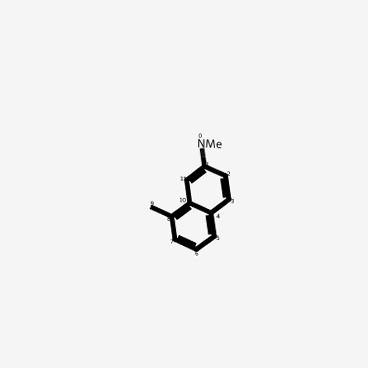 CNc1ccc2cccc(C)c2c1